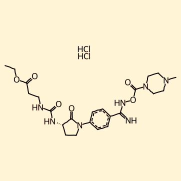 CCOC(=O)CCNC(=O)N[C@H]1CCN(c2ccc(C(=N)NOC(=O)N3CCN(C)CC3)cc2)C1=O.Cl.Cl